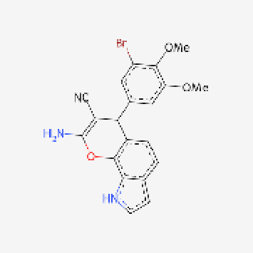 COc1cc(C2C(C#N)=C(N)Oc3c2ccc2cc[nH]c32)cc(Br)c1OC